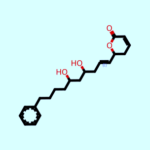 O=C1C=CCC(/C=C/CC(O)CC(O)CCCCc2ccccc2)O1